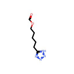 O=[C]OCCCCCc1nnn[nH]1